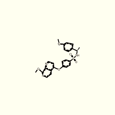 COc1ccc([C@@H](C)NS(=O)(=O)c2ccc(Oc3ccnc4c(OC)nccc34)cc2)cc1